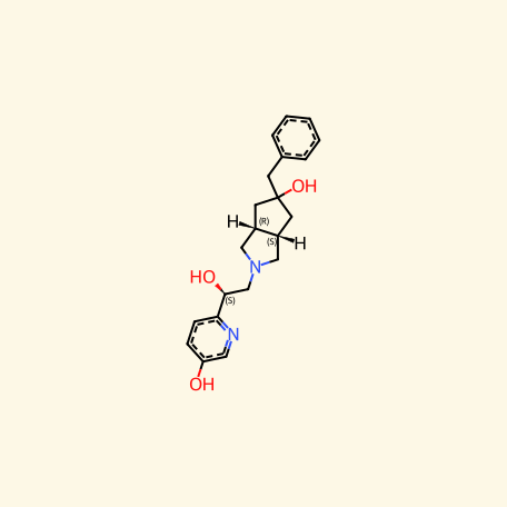 Oc1ccc([C@@H](O)CN2C[C@@H]3CC(O)(Cc4ccccc4)C[C@@H]3C2)nc1